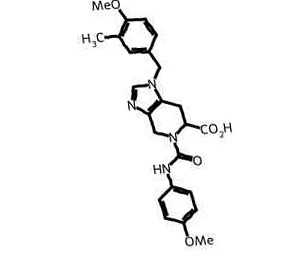 COc1ccc(NC(=O)N2Cc3ncn(Cc4ccc(OC)c(C)c4)c3CC2C(=O)O)cc1